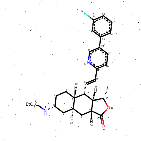 CCOC(=O)N[C@@H]1CC[C@H]2[C@H](C1)C[C@H]1C(=O)O[C@@H](C)[C@H]1[C@H]2/C=C/c1ccc(-c2cccc(F)c2)cn1